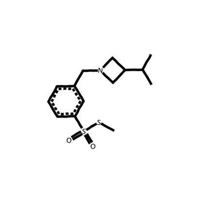 CSS(=O)(=O)c1cccc(CN2CC(C(C)C)C2)c1